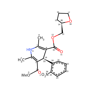 COC(=O)C1=C(C)NC(C)=C(C(=O)OC[C@H]2CCCO2)[C@H]1c1ccccc1[N+](=O)[O-]